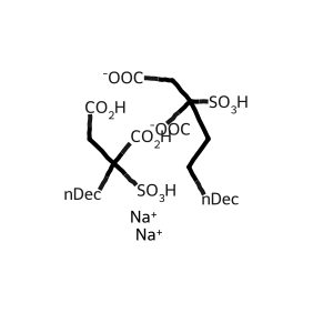 CCCCCCCCCCC(CC(=O)O)(C(=O)O)S(=O)(=O)O.CCCCCCCCCCCCC(CC(=O)[O-])(C(=O)[O-])S(=O)(=O)O.[Na+].[Na+]